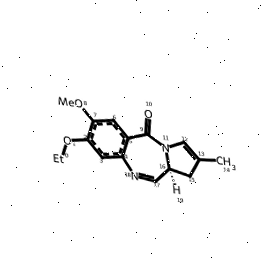 CCOc1cc2c(cc1OC)C(=O)N1C=C(C)C[C@H]1C=N2